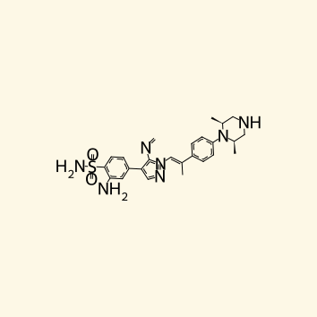 C=Nc1c(-c2ccc(S(N)(=O)=O)c(N)c2)cnn1/C=C(\C)c1ccc(N2[C@H](C)CNC[C@@H]2C)cc1